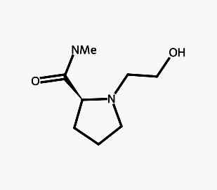 CNC(=O)[C@@H]1CCCN1CCO